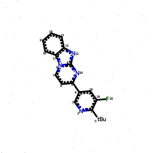 CC(C)(C)c1ncc(-c2ccn3c(n2)nc2ccccc23)cc1F